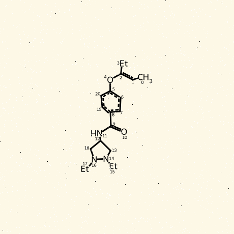 CC=C(CC)Oc1ccc(C(=O)NC2CN(CC)N(CC)C2)cc1